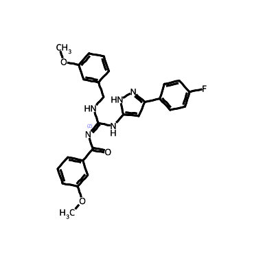 COc1cccc(CN/C(=N/C(=O)c2cccc(OC)c2)Nc2cc(-c3ccc(F)cc3)n[nH]2)c1